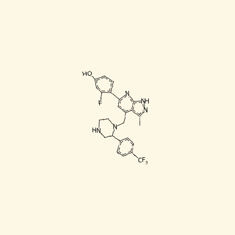 Cc1n[nH]c2nc(-c3ccc(O)cc3F)cc(CN3CCNCC3c3ccc(C(F)(F)F)cc3)c12